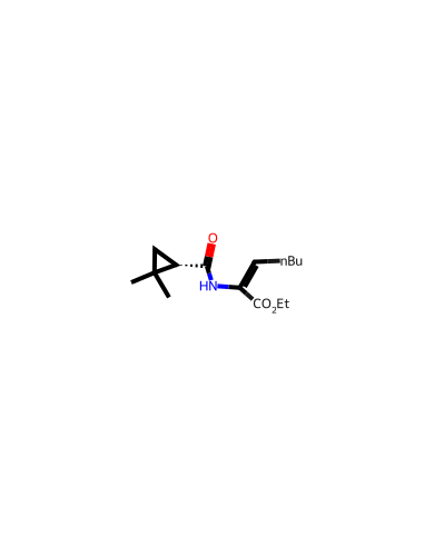 CCCCC=C(NC(=O)[C@H]1CC1(C)C)C(=O)OCC